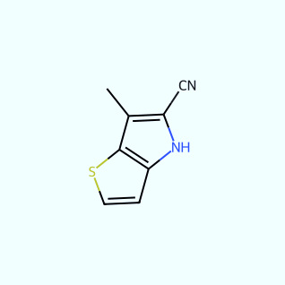 Cc1c(C#N)[nH]c2ccsc12